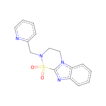 O=S1(=O)c2nc3ccccc3n2CCN1Cc1ccccn1